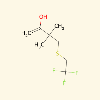 C=C(O)C(C)(C)CSCC(F)(F)F